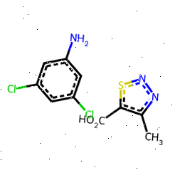 Cc1nnsc1C(=O)O.Nc1cc(Cl)cc(Cl)c1